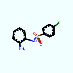 Nc1ccccc1NS(=O)(=O)c1ccc(F)cc1